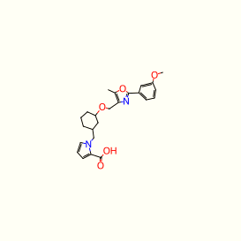 COc1cccc(-c2nc(COC3CCCC(Cn4cccc4C(=O)O)C3)c(C)o2)c1